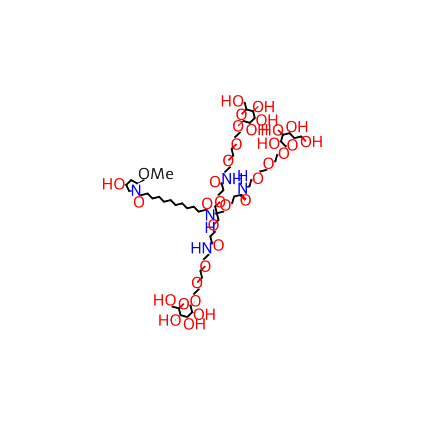 COC[C@@H]1C[C@@H](O)CN1C(=O)CCCCCCCCCCC(=O)NC(COCCC(=O)NCCOCCOCCO[C@H]1OC(CO)[C@@H](O)C(O)[C@H]1O)(COCCC(=O)NCCOCCOCCO[C@H]1OC(CO)[C@@H](O)C(O)[C@H]1O)COCCC(=O)NCCOCCOCCO[C@H]1OC(CO)[C@@H](O)C(O)[C@H]1O